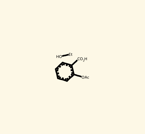 CC(=O)Oc1ccccc1C(=O)O.CCO